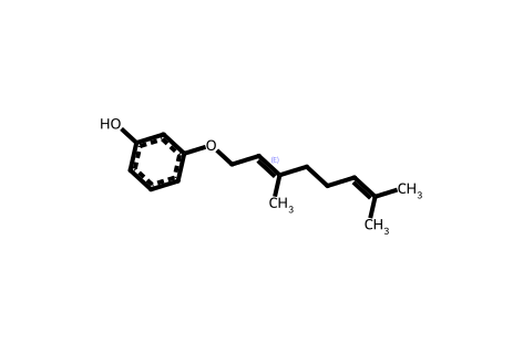 CC(C)=CCC/C(C)=C/COc1cccc(O)c1